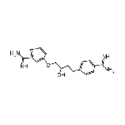 N=C(N)c1ccc(CCC(O)COc2cccc(C(=N)N)c2)cc1